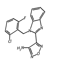 Nc1nonc1-c1nc2ccccc2n1Cc1c(F)cccc1Cl